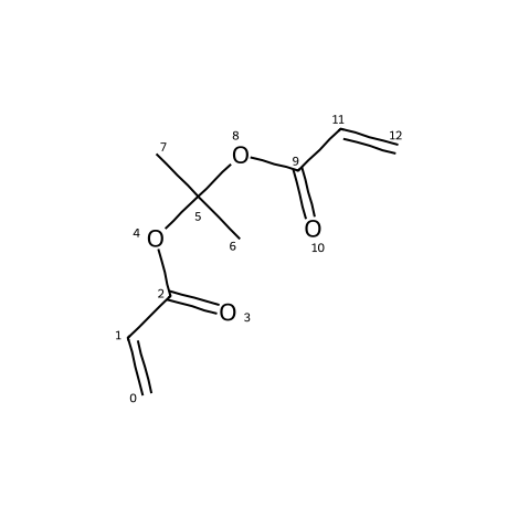 C=CC(=O)OC(C)(C)OC(=O)C=C